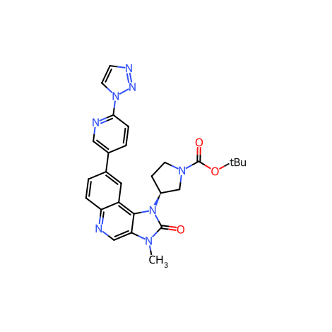 Cn1c(=O)n([C@H]2CCN(C(=O)OC(C)(C)C)C2)c2c3cc(-c4ccc(-n5ccnn5)nc4)ccc3ncc21